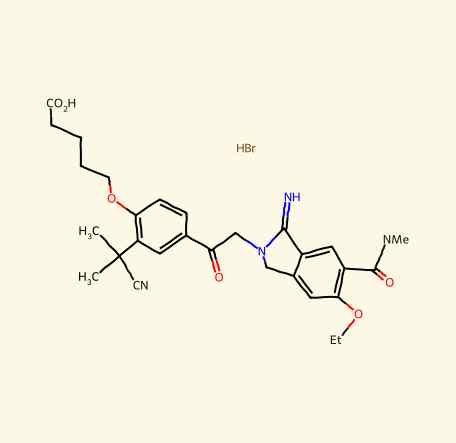 Br.CCOc1cc2c(cc1C(=O)NC)C(=N)N(CC(=O)c1ccc(OCCCCC(=O)O)c(C(C)(C)C#N)c1)C2